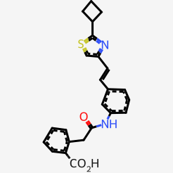 O=C(Cc1ccccc1C(=O)O)Nc1cccc(/C=C/c2csc(C3CCC3)n2)c1